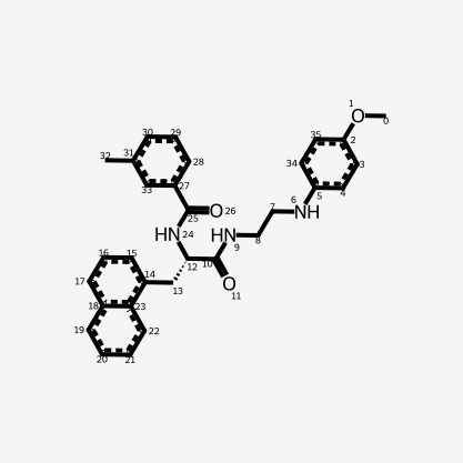 COc1ccc(NCCNC(=O)[C@H](Cc2cccc3ccccc23)NC(=O)c2cccc(C)c2)cc1